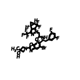 CC1(O)CN(c2nc3cc(Br)c([C@H](Cc4cc(F)cc(F)c4)NC(=O)Cn4nc(C(F)(F)F)c5c4C(F)(F)[C@@H]4C[C@H]54)nc3o2)C1